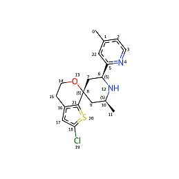 Cc1ccnc([C@@H]2C[C@]3(C[C@H](C)N2)OCCc2cc(Cl)sc23)c1